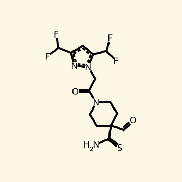 NC(=S)C1([C]=O)CCN(C(=O)Cn2nc(C(F)F)cc2C(F)F)CC1